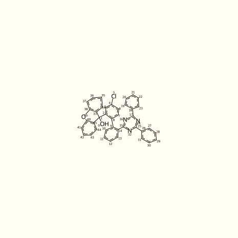 OC1(c2cc(Cl)ccc2-c2ccccc2-c2nc(-c3ccccc3)nc(-c3ccccc3)n2)c2ccccc2Oc2ccccc21